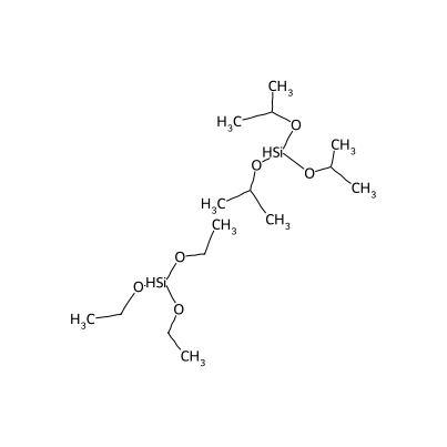 CC(C)O[SiH](OC(C)C)OC(C)C.CCO[SiH](OCC)OCC